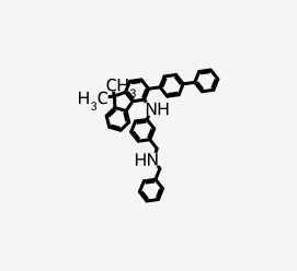 CC1(C)c2ccccc2-c2c1ccc(-c1ccc(-c3ccccc3)cc1)c2Nc1cccc(CNCc2ccccc2)c1